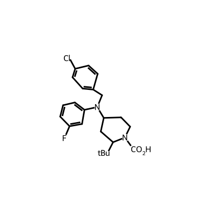 CC(C)(C)C1CC(N(Cc2ccc(Cl)cc2)c2cccc(F)c2)CCN1C(=O)O